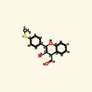 CSc1ccc(C2=C(Br)C(C=O)c3ccccc3O2)cc1